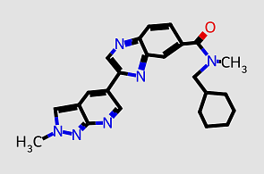 CN(CC1CCCCC1)C(=O)c1ccc2ncc(-c3cnc4nn(C)cc4c3)nc2c1